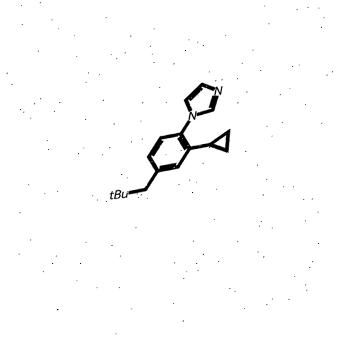 CC(C)(C)Cc1ccc(-n2ccnc2)c([C]2CC2)c1